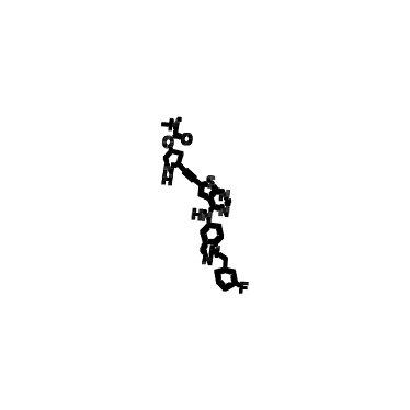 CN(C)C(=O)OC1CNC(C#Cc2cc3c(Nc4ccc5c(cnn5Cc5cccc(F)c5)c4)ncnc3s2)C1